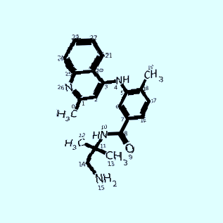 Cc1cc(Nc2cc(C(=O)NC(C)(C)CN)ccc2C)c2ccccc2n1